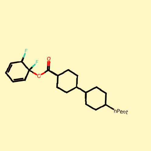 CCCCCC1CCC(C2CCC(C(=O)OC3(F)C=CC=CC3F)CC2)CC1